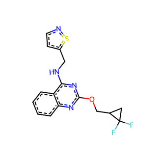 FC1(F)CC1COc1nc(NCc2ccns2)c2ccccc2n1